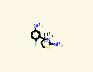 C[C@]1(c2cc(N)ccc2F)CCSC(N)=N1